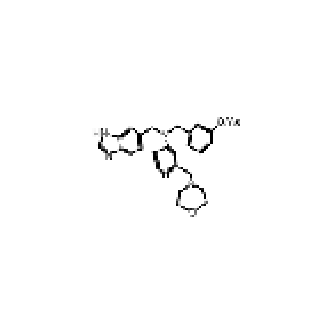 COc1cccc(CN(Cc2ccc3nc[nH]c3c2)c2ccnc(CN3CCOCC3)c2)c1